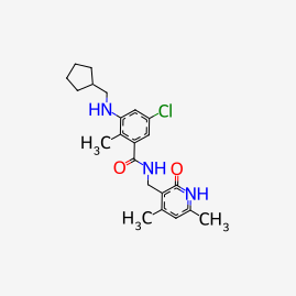 Cc1cc(C)c(CNC(=O)c2cc(Cl)cc(NCC3CCCC3)c2C)c(=O)[nH]1